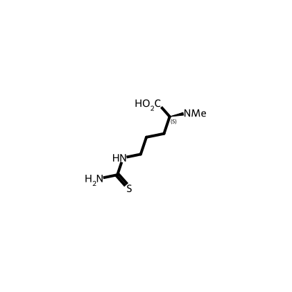 CN[C@@H](CCCNC(N)=S)C(=O)O